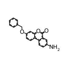 Nc1ccc2c(c1)c(=O)oc1cc(OCc3ccccc3)ccc12